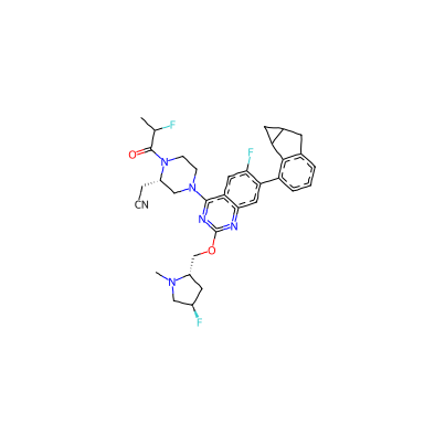 CC(F)C(=O)N1CCN(c2nc(OC[C@@H]3C[C@@H](F)CN3C)nc3cc(-c4cccc5c4C4CC4C5)c(F)cc23)C[C@@H]1CC#N